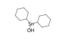 [OH][Sn]([CH]1CCCCC1)[CH]1CCCCC1